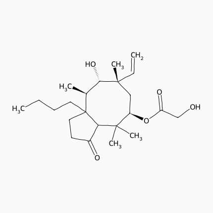 C=C[C@]1(C)C[C@@H](OC(=O)CO)C(C)(C)C2C(=O)CCC2(CCCC)[C@@H](C)[C@@H]1O